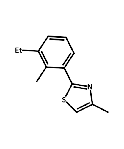 CCc1cccc(-c2nc(C)cs2)c1C